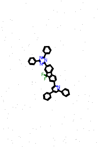 FC1(F)c2cc(-c3cc(-c4ccccc4)cc(-c4ccccc4)n3)ccc2-c2ccc(-c3nc(-c4ccccc4)nc(-c4ccccc4)n3)cc21